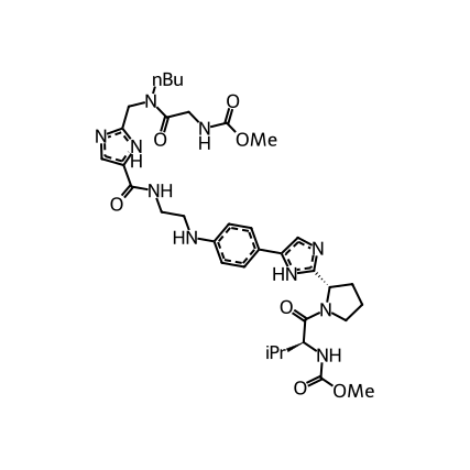 CCCCN(Cc1ncc(C(=O)NCCNc2ccc(-c3cnc([C@@H]4CCCN4C(=O)[C@@H](NC(=O)OC)C(C)C)[nH]3)cc2)[nH]1)C(=O)CNC(=O)OC